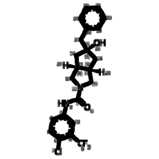 O=C(Nc1ccc(Cl)c(C(F)(F)F)c1)N1C[C@@H]2C[C@](O)(Cc3ccccc3)C[C@@H]2C1